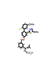 COc1ccc(F)c(-c2ccc(OCc3cccc(C(CC(=O)O)C4CC4)c3)cc2-c2nnc(C(C)(C)C)s2)c1